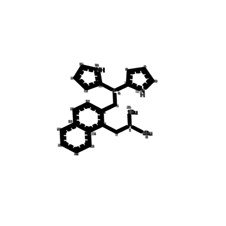 CC(C)(C)P(Cc1c(CP(c2ccc[nH]2)c2ccc[nH]2)ccc2ccccc12)C(C)(C)C